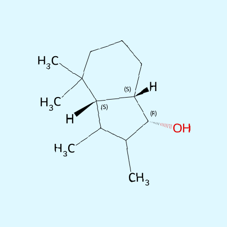 CC1C(C)[C@H]2[C@H](CCCC2(C)C)[C@@H]1O